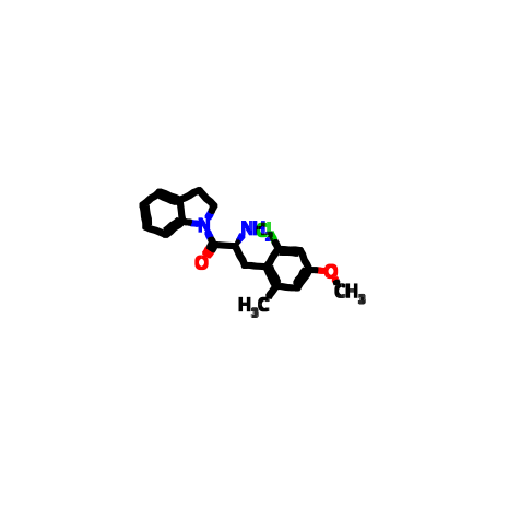 COc1cc(C)c(C[C@H](N)C(=O)N2CCc3ccccc32)c(Cl)c1